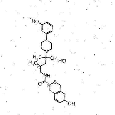 C[C@H](CNC(=O)[C@H]1Cc2ccc(O)cc2CS1)CC(C)(C)N1CCC(c2cccc(O)c2)CC1.Cl